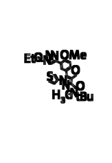 CCOCn1cc(-c2cc3c(cc2OC)OCc2c(C(=O)N(C)C(C)(C)C)nn(-c4ccsc4)c2-3)nn1